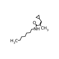 CCCCCCCNC(=O)C(C)=CC1CC1